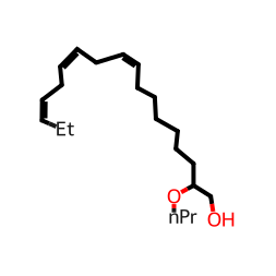 CC/C=C\C/C=C\C/C=C\CCCCCCC(CO)OCCC